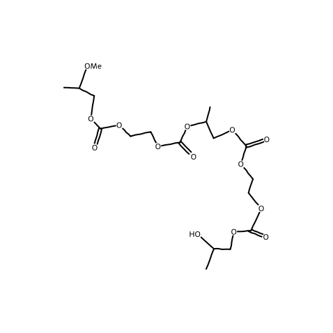 COC(C)COC(=O)OCCOC(=O)OC(C)COC(=O)OCCOC(=O)OCC(C)O